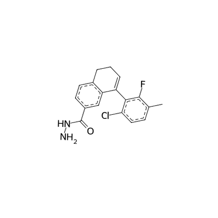 Cc1ccc(Cl)c(C2=CCCc3ccc(C(=O)NN)cc32)c1F